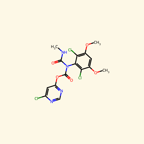 CNC(=O)N(C(=O)Oc1cc(Cl)ncn1)c1c(Cl)c(OC)cc(OC)c1Cl